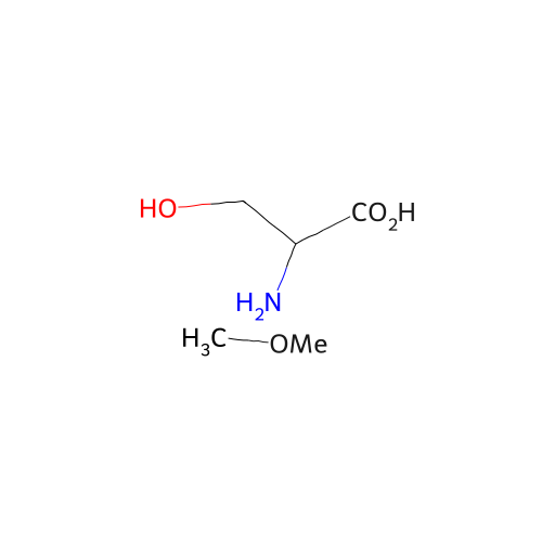 COC.NC(CO)C(=O)O